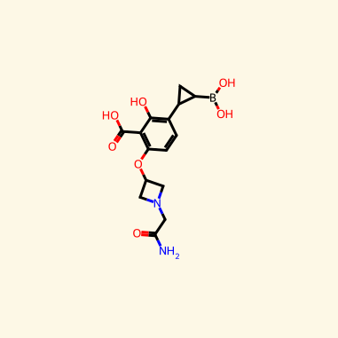 NC(=O)CN1CC(Oc2ccc(C3CC3B(O)O)c(O)c2C(=O)O)C1